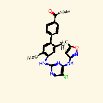 CNC(=O)c1ccc(-c2cc(OC)c(Nc3ncc(Cl)c(Nc4cc(C)on4)n3)cc2C)cc1